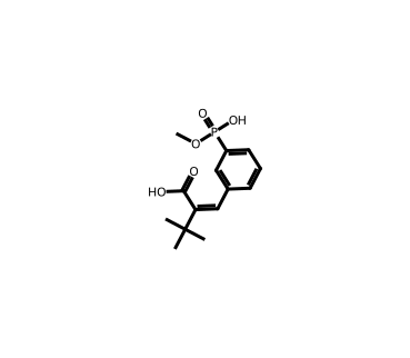 COP(=O)(O)c1cccc(C=C(C(=O)O)C(C)(C)C)c1